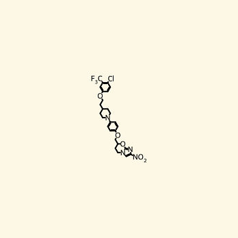 O=[N+]([O-])c1cn2c(n1)OC(COc1ccc(N3CCC(CCOc4ccc(Cl)c(C(F)(F)F)c4)CC3)cc1)CC2